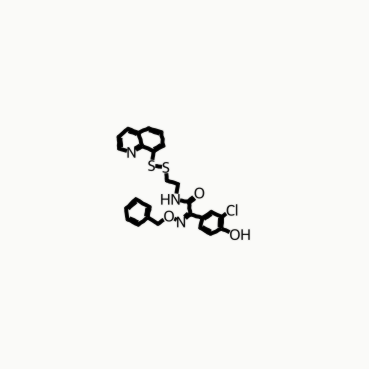 O=C(NCCSSc1cccc2cccnc12)C(=NOCc1ccccc1)c1ccc(O)c(Cl)c1